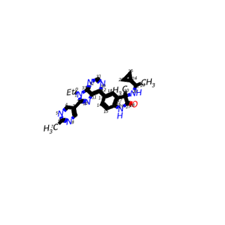 CCn1c(-c2cnc(C)nc2)nc2c(-c3ccc4c(c3)C(C)(NC(C)C3CC3)C(=O)N4)ncnc21